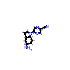 N#Cc1cnc(-n2ccc3cc(N)ccc32)cn1